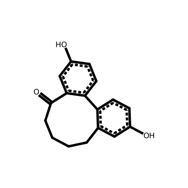 O=C1CCCCc2cc(O)ccc2-c2ccc(O)cc21